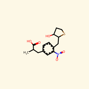 CC(Cc1ccc(CC2SCCC2O)c([N+](=O)[O-])c1)C(=O)O